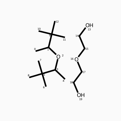 CC(OC(C)C(C)(C)C)C(C)(C)C.OCCOCCO